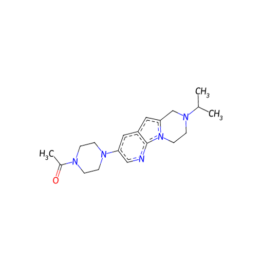 CC(=O)N1CCN(c2cnc3c(c2)cc2n3CCN(C(C)C)C2)CC1